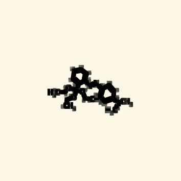 CCO[Si](OCC)(OCC)c1ccccc1/N=N/c1ccc(N(C)C)cc1